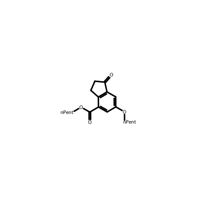 CCCCCOC(=O)c1cc(OCCCCC)cc2c1CCC2=O